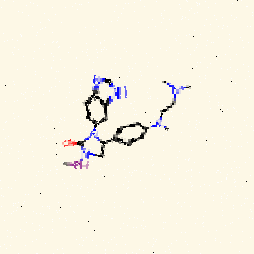 CPN1CC(c2ccc(N(C)CCN(C)C)cc2)N(c2ccc3nc[nH]c3c2)C1=O